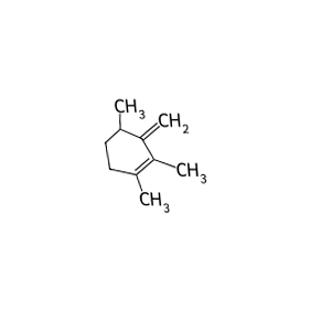 C=C1C(C)=C(C)CCC1C